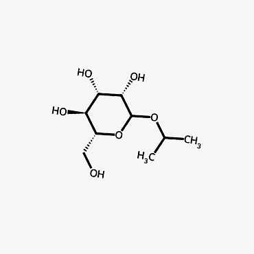 CC(C)OC1O[C@H](CO)[C@@H](O)[C@H](O)[C@@H]1O